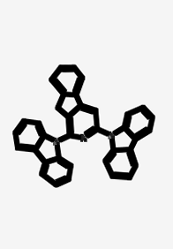 c1ccc2c(c1)Cc1c-2cc(-n2c3ccccc3c3ccccc32)nc1-n1c2ccccc2c2ccccc21